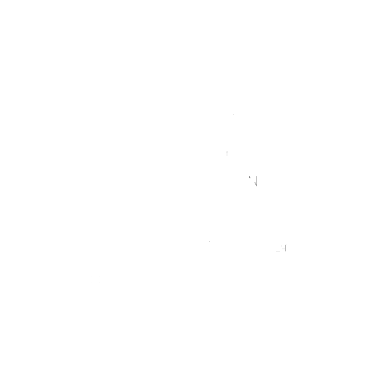 O=CCc1cc(Br)nc2ccccc12